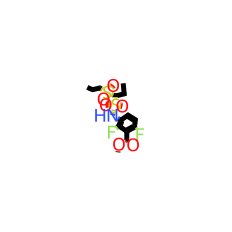 CCCS(=O)(=O)C(CC)S(=O)(=O)Nc1ccc(F)c(C(=O)OC)c1F